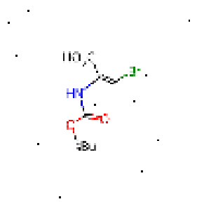 CC(C)(C)OC(=O)NC(=CBr)C(=O)O